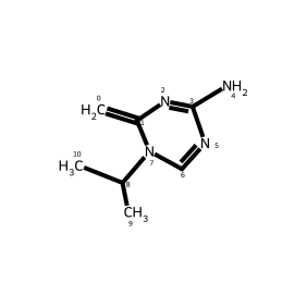 C=C1N=C(N)N=CN1C(C)C